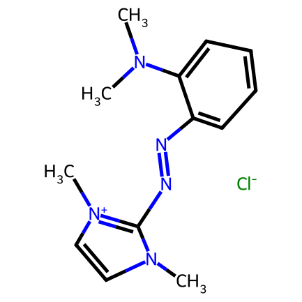 CN(C)c1ccccc1N=Nc1n(C)cc[n+]1C.[Cl-]